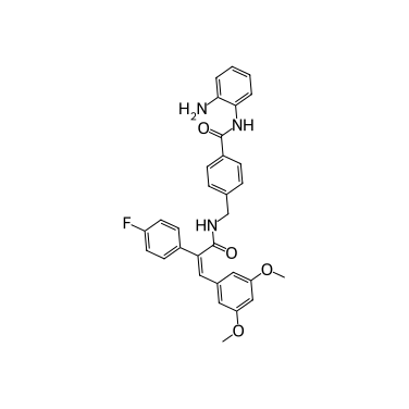 COc1cc(C=C(C(=O)NCc2ccc(C(=O)Nc3ccccc3N)cc2)c2ccc(F)cc2)cc(OC)c1